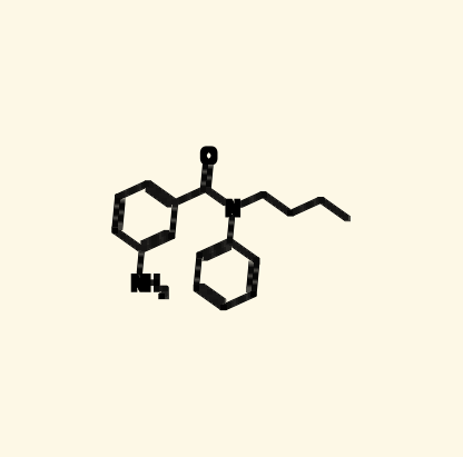 CCCCN(C(=O)c1cccc(N)c1)c1ccccc1